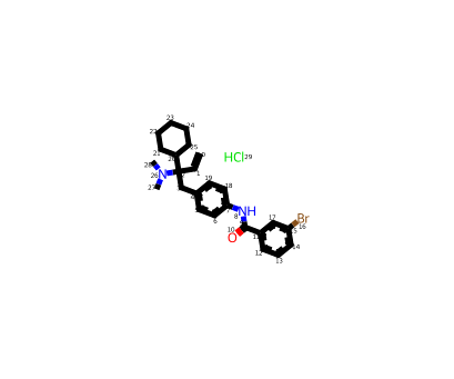 C=CC(Cc1ccc(NC(=O)c2cccc(Br)c2)cc1)(C1CCCCC1)N(C)C.Cl